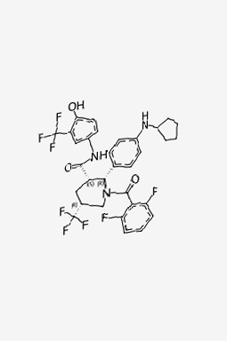 O=C(Nc1ccc(O)c(C(F)(F)F)c1)[C@H]1C[C@@H](C(F)(F)F)CN(C(=O)c2c(F)cccc2F)[C@H]1c1ccc(NC2CCCC2)cc1